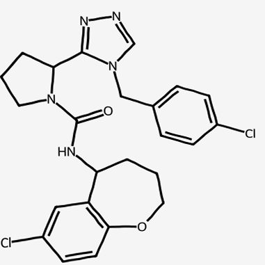 O=C(NC1CCCOc2ccc(Cl)cc21)N1CCCC1c1nncn1Cc1ccc(Cl)cc1